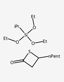 CCCCCC1CC(=O)S1.CCO[Si](OCC)(OCC)C(C)C